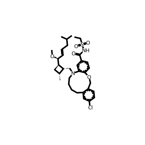 CCS(=O)(=O)NC(=O)c1ccc2c(c1)N(C[C@H]1[C@H]([C@H](/C=C/CC(C)C)OC)C[C@H]1C)CCCCc1cc(Cl)ccc1CO2